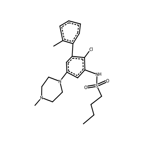 CCCCS(=O)(=O)Nc1cc(N2CCN(C)CC2)cc(-c2ccccc2C)c1Cl